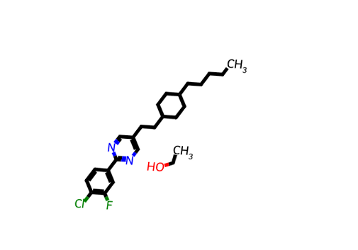 CCCCCC1CCC(CCc2cnc(-c3ccc(Cl)c(F)c3)nc2)CC1.CCO